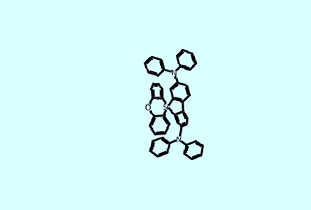 c1ccc(N(c2ccccc2)c2ccc3c(c2)[Si]2(c4ccccc4Oc4ccccc42)c2cc(N(c4ccccc4)c4ccccc4)ccc2-3)cc1